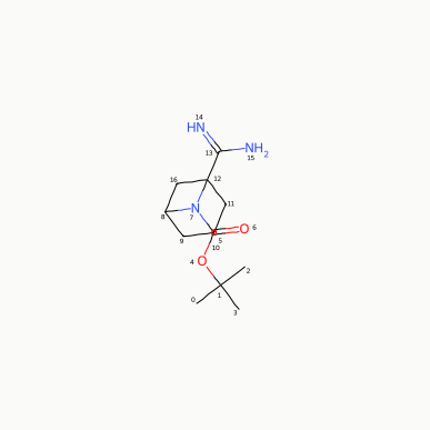 CC(C)(C)OC(=O)N1C2CCCC1(C(=N)N)C2